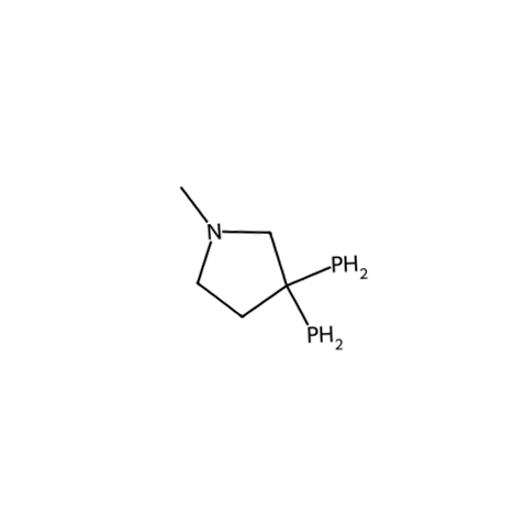 CN1CCC(P)(P)C1